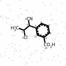 CC(Cl)C(C#N)c1cccc(C(=O)O)c1